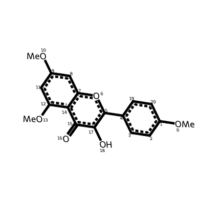 COc1ccc(-c2oc3cc(OC)cc(OC)c3c(=O)c2O)cc1